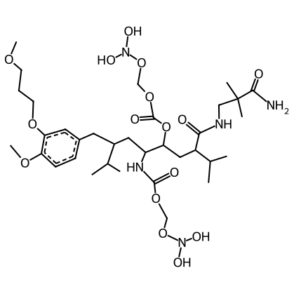 COCCCOc1cc(CC(CC(NC(=O)OCON(O)O)C(CC(C(=O)NCC(C)(C)C(N)=O)C(C)C)OC(=O)OCON(O)O)C(C)C)ccc1OC